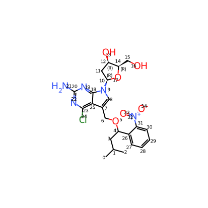 CC(C)CC(OCc1cn([C@H]2C[C@@H](O)[C@@H](CO)O2)c2nc(N)nc(Cl)c12)c1ccccc1[N+](=O)[O-]